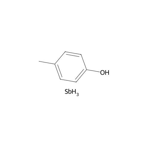 Cc1ccc(O)cc1.[SbH3]